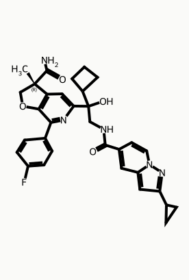 C[C@]1(C(N)=O)COc2c1cc(C(O)(CNC(=O)c1ccn3nc(C4CC4)cc3c1)C1CCC1)nc2-c1ccc(F)cc1